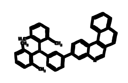 Cc1cccc(C)c1B(c1cccc(-c2ccc3c(c2)ncc2ccc4ccccc4c23)c1)c1c(C)cccc1C